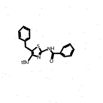 CC(C)(C)c1nc(NC(=O)c2ccccc2)sc1Cc1ccccc1